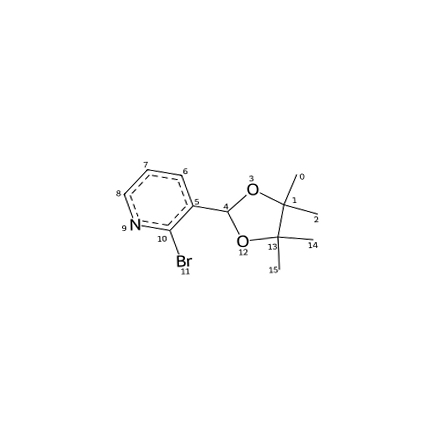 CC1(C)OC(c2cccnc2Br)OC1(C)C